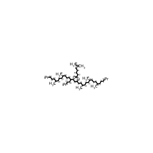 CC(C)CCCC(C)CCCC(C)CCCC(C)CCC(CCC(CCCC(C)CCCC(C)CCCC(C)C)CCC(C)C)OC(=O)CCCCN(C)C